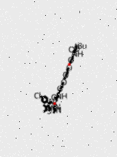 Cc1sc2c(c1C)C(c1ccc(Cl)cc1)=N[C@@H](CC(=O)NCCOCCOCCOCCOCCOCCNC(=O)OC(C)(C)C)c1nnc(C)n1-2